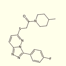 CC1CCN(C(=O)CSc2ccc3nnc(-c4ccc(F)cc4)n3n2)CC1